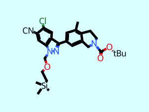 [C-]#[N+]c1cc2c(cc1Cl)c(-c1cc(C)c3c(c1)CN(C(=O)OC(C)(C)C)CC3)nn2COCC[Si](C)(C)C